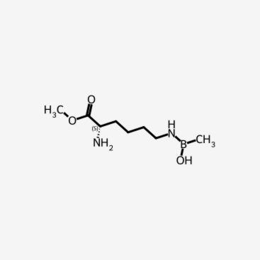 COC(=O)[C@@H](N)CCCCNB(C)O